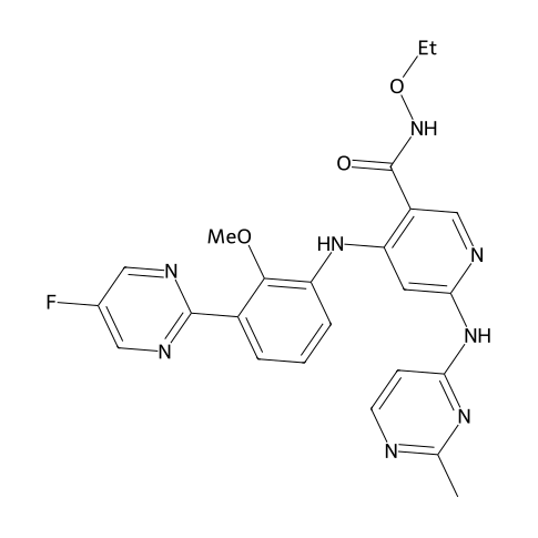 CCONC(=O)c1cnc(Nc2ccnc(C)n2)cc1Nc1cccc(-c2ncc(F)cn2)c1OC